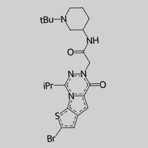 CC(C)c1nn(CC(=O)NC2CCCN(C(C)(C)C)C2)c(=O)c2cc3cc(Br)sc3n12